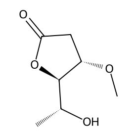 CO[C@H]1CC(=O)O[C@@H]1[C@@H](C)O